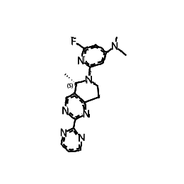 C[C@H]1c2cnc(-c3ncccn3)nc2CCN1c1cc(N(C)C)cc(F)n1